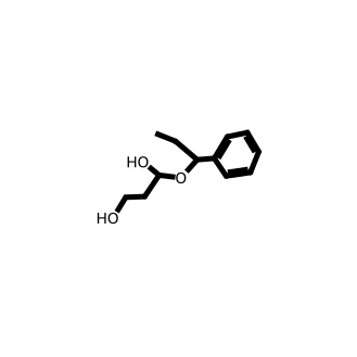 CCC(OC(O)CCO)c1ccccc1